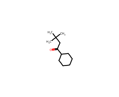 CC(C)(C)CC(=O)C1CCCCC1